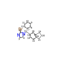 Brc1nccn1C(c1ccccc1)c1ccc2c(c1)CCC2